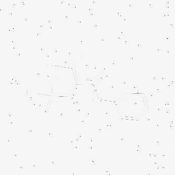 O=C(Nc1ccccc1)C(OP(=O)(O)O)=C(Cl)Cl